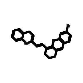 Brc1ccc2c(c1)OC1=C(C=CC3=CCc4ccccc4[Se]3)CCCC1=C2